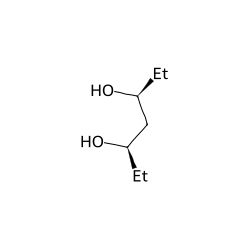 CC[C@@H](O)C[C@@H](O)CC